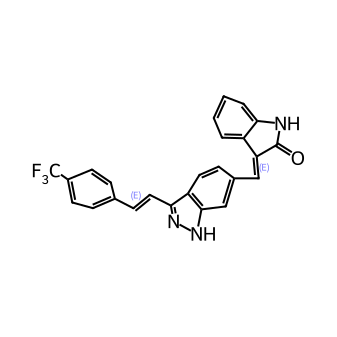 O=C1Nc2ccccc2/C1=C\c1ccc2c(/C=C/c3ccc(C(F)(F)F)cc3)n[nH]c2c1